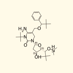 C[SiH](C)OC([C@H]1O[C@@H](N2CC(COC(c3ccccc3)C(C)(C)C)=C(N)N(C(C)(C)C)C2=O)C[C@@H]1O)C(C)(C)C